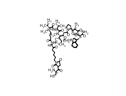 CC[C@H](C)[C@@H]([C@@H](CC(=O)N1CCC[C@H]1[C@H](OC)[C@@H](C)C(=O)N[C@@H](Cc1c[nH]c2ccccc12)C(N)=O)OC)N(C)C(=O)[C@@H](NC(=O)[C@H](C(C)C)N(C)CCCC(=O)NNC(=O)CCCCCN1C(=O)CC(C(=O)[C@@H](N)CS)C1=O)C(C)C